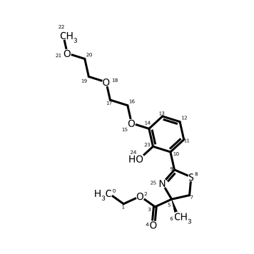 CCOC(=O)[C@@]1(C)CSC(c2cccc(OCCOCCOC)c2O)=N1